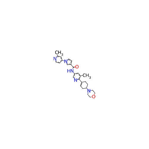 Cc1cc(-n2ccc(C(=O)Nc3cnc(C4=CCC(N5CCOCC5)CC4)c(C)c3)c2)ccn1